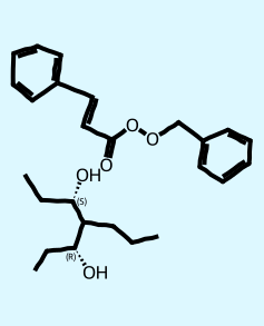 CCCC([C@H](O)CC)[C@@H](O)CC.O=C(C=Cc1ccccc1)OOCc1ccccc1